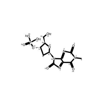 CN1C(=O)N=C2C(=NC(=O)N2[C@H]2C[C@H](OP(=O)(O)O)[C@@H](CO)O2)C1=O